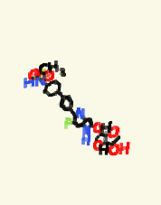 CS(=O)(=O)NC1CCC(c2ccc(-c3nc4cc(O[C@@H]5CO[C@@H]6C(O)CO[C@@H]65)[nH]c4cc3F)cc2)CC1